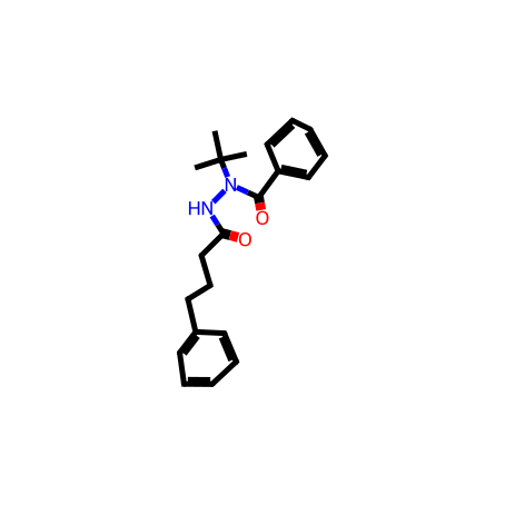 CC(C)(C)N(NC(=O)CCCc1ccccc1)C(=O)c1ccccc1